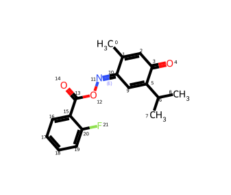 CC1=CC(=O)C(C(C)C)=C/C1=N\OC(=O)c1ccccc1F